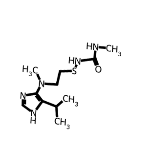 CNC(=O)NSCCN(C)c1nc[nH]c1C(C)C